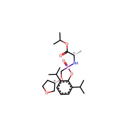 CC(C)OC(=O)[C@H](C)NP(=O)(CO[C@H]1CCOC1)Oc1c(C(C)C)cccc1C(C)C